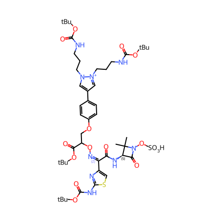 CC(C)(C)OC(=O)NCCCn1cc(-c2ccc(OCC(O/N=C(\C(=O)N[C@@H]3C(=O)N(OS(=O)(=O)O)C3(C)C)c3csc(NC(=O)OC(C)(C)C)n3)C(=O)OC(C)(C)C)cc2)c[n+]1CCCNC(=O)OC(C)(C)C